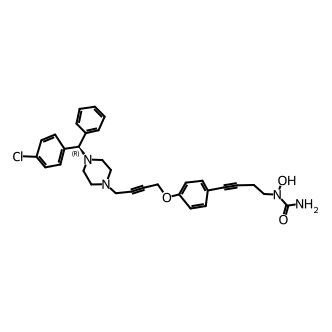 NC(=O)N(O)CCC#Cc1ccc(OCC#CCN2CCN([C@H](c3ccccc3)c3ccc(Cl)cc3)CC2)cc1